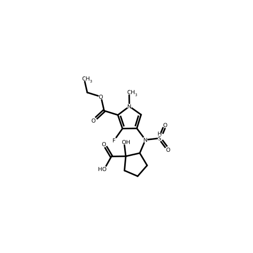 CCOC(=O)c1c(F)c(N(C2CCCC2(O)C(=O)O)[SH](=O)=O)cn1C